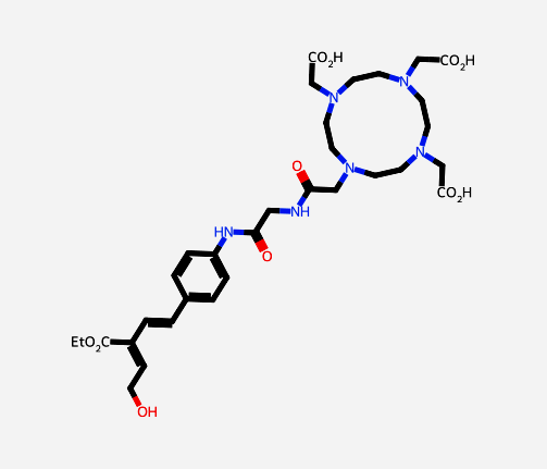 CCOC(=O)C(C=Cc1ccc(NC(=O)CNC(=O)CN2CCN(CC(=O)O)CCN(CC(=O)O)CCN(CC(=O)O)CC2)cc1)=CCO